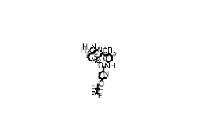 C[C@@]12CCCN=[S@]1(=O)C[C@@](C)(c1nc(NC(=O)c3ccc(OCC(F)(F)C(F)F)cn3)ccc1F)N=C2N